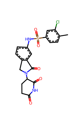 Cc1ccc(S(=O)(=O)Nc2ccc3c(c2)C(=O)N(C2CCC(=O)NC2=O)C3)cc1Cl